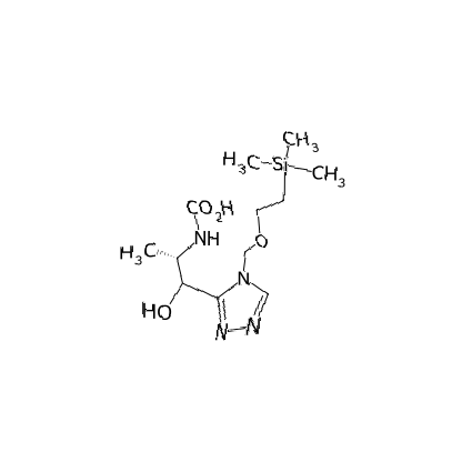 C[C@H](NC(=O)O)C(O)c1nncn1COCC[Si](C)(C)C